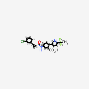 CC(F)(F)c1ccc(-c2ccc(NC(=O)[C@@H]3C[C@H]3c3cccc(Cl)c3)cc2C(=O)O)cn1